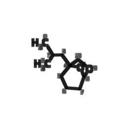 CC(C)CC12CCCC(OC1)O2